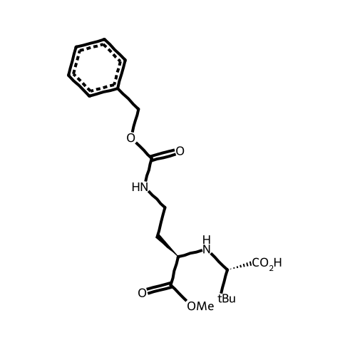 COC(=O)[C@@H](CCNC(=O)OCc1ccccc1)N[C@H](C(=O)O)C(C)(C)C